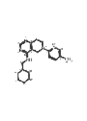 Cc1ccc(N2CCc3ncnc(NCC4CCCCC4)c3C2)nc1